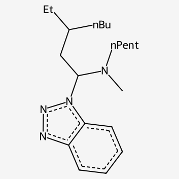 CCCCCN(C)C(CC(CC)CCCC)n1nnc2ccccc21